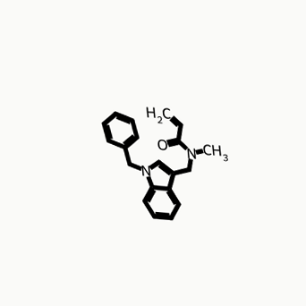 C=CC(=O)N(C)Cc1cn(Cc2ccccc2)c2ccccc12